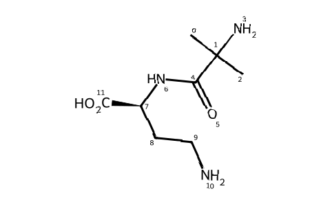 CC(C)(N)C(=O)N[C@@H](CCN)C(=O)O